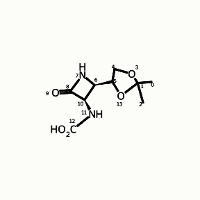 CC1(C)OCC([C@@H]2NC(=O)[C@@H]2NC(=O)O)O1